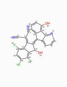 N#CC(C#N)=C1/C(=C2/c3cccnc3-c3c(O)cccc32)C(O)c2c(F)c(F)cc(F)c21